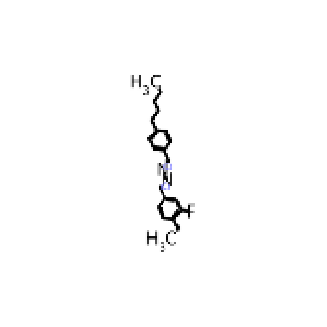 CCCCCc1ccc(/C=N/N=C/c2ccc(CC)c(F)c2)cc1